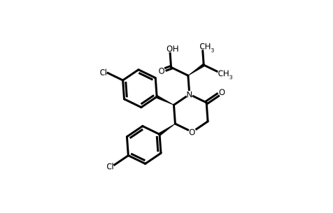 CC(C)[C@H](C(=O)O)N1C(=O)CO[C@@H](c2ccc(Cl)cc2)[C@H]1c1ccc(Cl)cc1